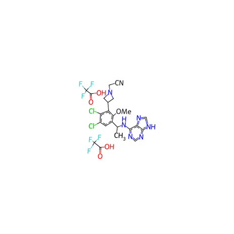 COc1c(C(C)Nc2ncnc3[nH]cnc23)cc(Cl)c(Cl)c1C1CN(CC#N)C1.O=C(O)C(F)(F)F.O=C(O)C(F)(F)F